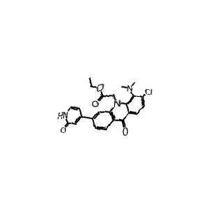 CCOC(=O)Cn1c2cc(-c3cc[nH]c(=O)c3)ccc2c(=O)c2ccc(Cl)c(N(C)C)c21